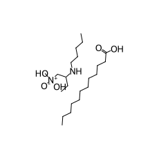 CCCCCCCCCCCC(=O)O.CCCCCNC(CC)C[N+]([O-])(O)O